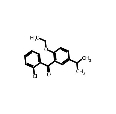 CCOc1ccc(C(C)C)cc1C(=O)c1ccccc1Cl